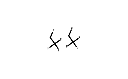 FCC(F)(F)F.FCC(F)(F)F